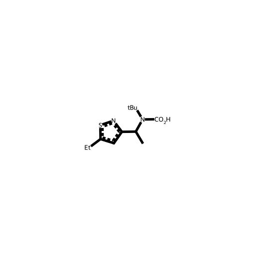 CCc1cc(C(C)N(C(=O)O)C(C)(C)C)ns1